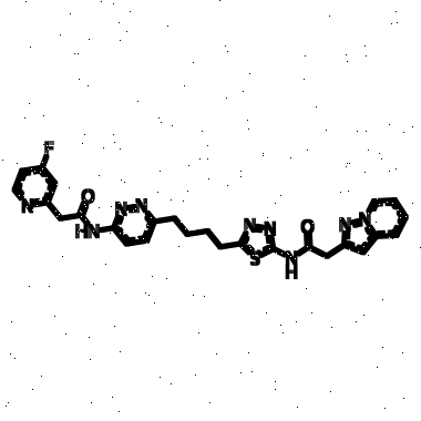 O=C(Cc1cc(F)ccn1)Nc1ccc(CCCCc2nnc(NC(=O)Cc3cc4ccccn4n3)s2)nn1